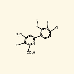 Nc1cc(-c2ccc(Cl)c(F)c2CF)nc(C(=O)O)c1Cl